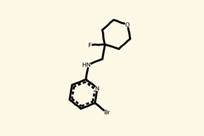 FC1(CNc2cccc(Br)n2)CCOCC1